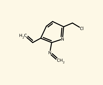 C=Cc1ccc(CCl)nc1N=C